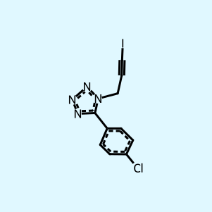 Clc1ccc(-c2nnnn2CC#CI)cc1